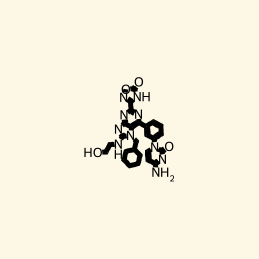 Nc1ccn(-c2cccc(-c3nc(-c4noc(=O)[nH]4)nc4nc(NCCO)n(CC5CCCCC5)c34)c2)c(=O)n1